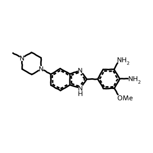 COc1cc(-c2nc3cc(N4CCN(C)CC4)ccc3[nH]2)cc(N)c1N